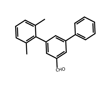 Cc1cccc(C)c1-c1cc(C=O)cc(-c2ccccc2)c1